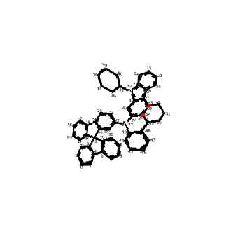 c1ccc2c(c1)-c1ccccc1C21c2ccccc2-c2ccc(N(c3ccc4c5ccccc5n(C5CCCCC5)c4c3)c3ccccc3C3CCCCC3)cc21